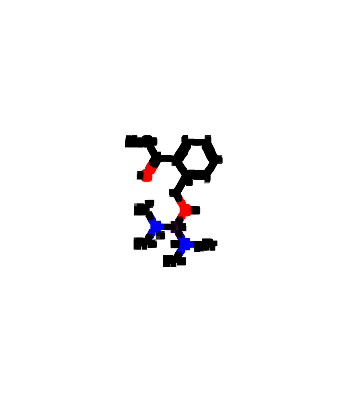 COC(=O)c1ccccc1COP(N(C(C)C)C(C)C)N(C(C)C)C(C)C